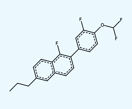 CCCc1ccc2c(F)c(-c3ccc(OC(F)F)c(F)c3)ccc2c1